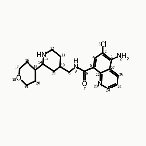 Nc1c(Cl)cc(C(=O)NCC2CCNC(C3CCOCC3)C2)c2ncccc12